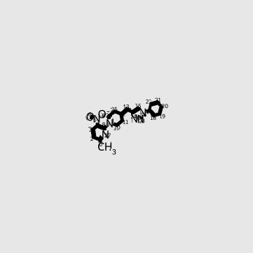 Cc1ccc([N+](=O)[O-])c(N2CCC(=Cc3cn(-c4ccccc4)nn3)CC2)n1